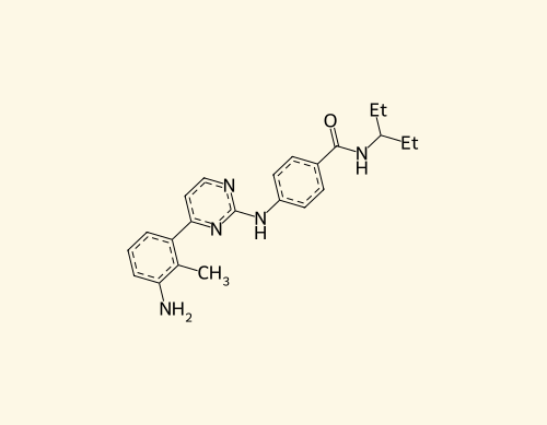 CCC(CC)NC(=O)c1ccc(Nc2nccc(-c3cccc(N)c3C)n2)cc1